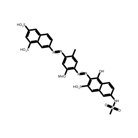 COc1cc(/N=N/c2ccc3cc(S(=O)(=O)O)cc(S(=O)(=O)O)c3c2)c(C)cc1/N=N/c1c(S(=O)(=O)O)cc2cc(NS(C)(=O)=O)ccc2c1O